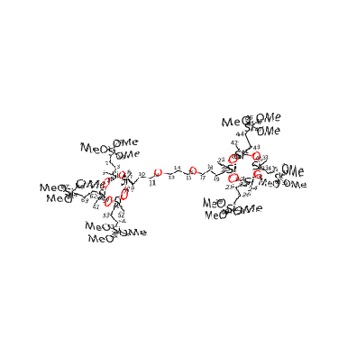 CO[Si](CC[Si]1(C)O[Si](C)(CCCOCCCOCCC[Si]2(C)O[Si](C)(CC[Si](OC)(OC)OC)O[Si](C)(CC[Si](OC)(OC)OC)O[Si](C)(CC[Si](OC)(OC)OC)O2)O[Si](C)(CC[Si](OC)(OC)OC)O[Si](C)(CC[Si](OC)(OC)OC)O1)(OC)OC